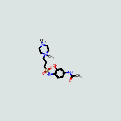 CC(=O)Nc1ccc(NS(=O)(=O)CCC[N+]2(C)CCN(C)CC2)c(O)c1